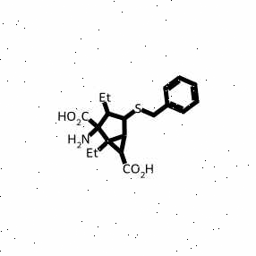 CCC1C(SCc2ccccc2)C2C(C(=O)O)C2(CC)C1(N)C(=O)O